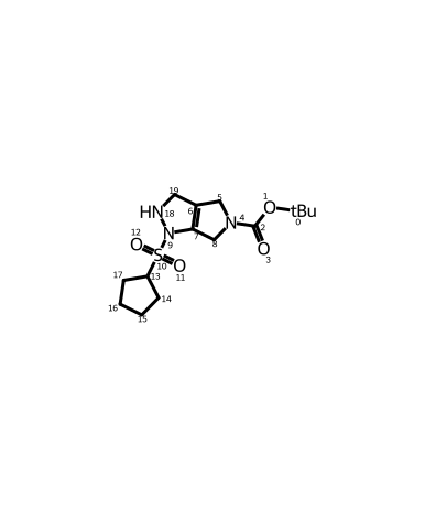 CC(C)(C)OC(=O)N1CC2=C(C1)N(S(=O)(=O)C1CCCC1)NC2